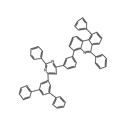 c1ccc(-c2cc(-c3ccccc3)cc(-c3cc(-c4cccc(-c5cccc6c5nc(-c5ccccc5)c5cccc(-c7ccccc7)c56)c4)nc(-c4ccccc4)n3)c2)cc1